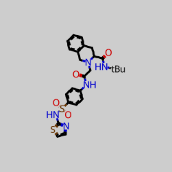 CC(C)(C)NC(=O)C1Cc2ccccc2CN1CC(=O)Nc1ccc(S(=O)(=O)Nc2nccs2)cc1